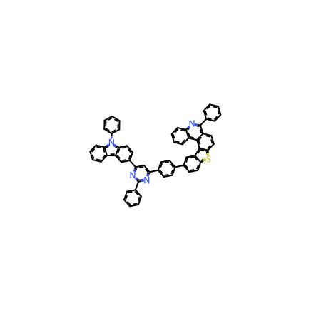 c1ccc(-c2nc(-c3ccc(-c4ccc5sc6ccc7c(-c8ccccc8)nc8ccccc8c7c6c5c4)cc3)cc(-c3ccc4c(c3)c3ccccc3n4-c3ccccc3)n2)cc1